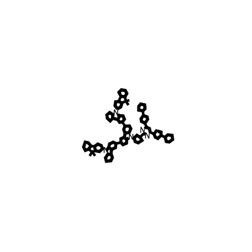 CC1(C)c2ccccc2-c2ccc(-n3c4ccccc4c4cc(-c5ccc6c(c5)c5cc(-c7ccc8c(c7)c7ccccc7n8-c7ccc8c(c7)C(C)(C)c7ccccc7-8)ccc5n6-c5cccc(-c6nc(-c7ccc(-c8ccccc8)cc7)cc(-c7ccc(-c8ccccc8)cc7)n6)c5)ccc43)cc21